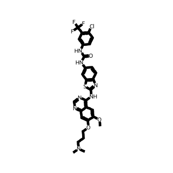 COc1cc2c(Nc3nc4ccc(NC(=O)Nc5ccc(Cl)c(C(F)(F)F)c5)cc4s3)ncnc2cc1OCCCN(C)C